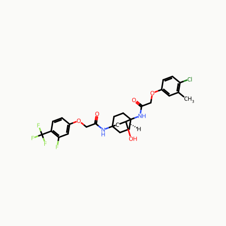 Cc1cc(OCC(=O)NC23CCC(NC(=O)COc4ccc(C(F)(F)F)c(F)c4)(CC2)C[C@@H]3O)ccc1Cl